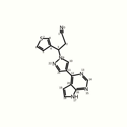 N#CCC(c1ccsc1)n1cc(-c2ncnc3[nH]ccc23)cn1